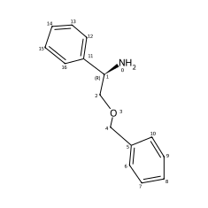 N[C@@H](COCc1ccccc1)c1ccccc1